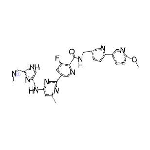 C/N=C\c1nc(Nc2cc(C)nc(-c3cnc(C(=O)NCc4ccc(-c5ccc(OC)nc5)nc4)c(F)c3)n2)c[nH]1